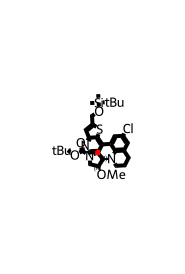 CO[C@@H]1CN(C(=O)OC(C)(C)C)C[C@H]1N1CCCc2cc(Cl)cc(-c3ccnc4cc(CO[Si](C)(C)C(C)(C)C)sc34)c21